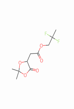 CC(F)(F)COC(=O)CC1OC(C)(C)OC1=O